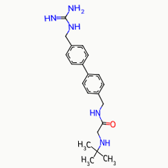 CC(C)(C)NCC(=O)NCc1ccc(-c2ccc(CNC(=N)N)cc2)cc1